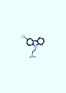 CN(C)CCn1c2ccccc2c2cc(Cl)ccc21